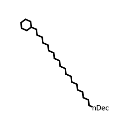 CCCCCCCCCCCCCCCCCCCCCCCCCCCCCCC1CCCCC1